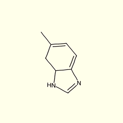 CC1=CC=C2N=CNC2C1